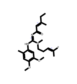 CC/C(C)=C/C(=O)/N=C(/Nc1cc(OC)c(OC)cc1C)N(C)CC/C=C(\C)F